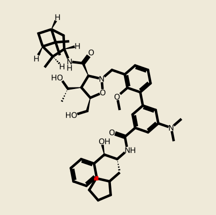 COc1c(CN2O[C@@H](CO)[C@@H]([C@H](C)O)[C@H]2C(=O)N[C@H]2C[C@H]3C[C@@H]([C@@H]2C)C3(C)C)cccc1-c1cc(C(=O)N[C@H](CC2CCCC2)[C@H](O)c2ccccc2)cc(N(C)C)c1